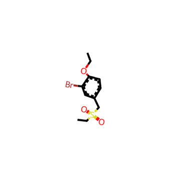 CCOc1ccc(CS(=O)(=O)CC)cc1Br